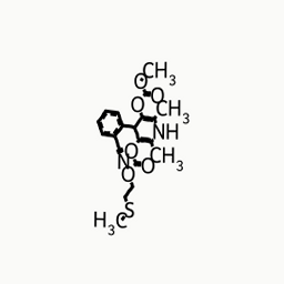 COC(=O)OC1=C(C)NC(C)=C(OC(=O)OCCSC)C1c1ccccc1C#N